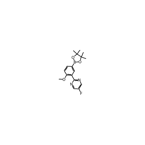 COc1ccc(B2OC(C)(C)C(C)(C)O2)cc1-c1ncc(F)cn1